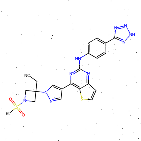 CCS(=O)(=O)N1CC(CC#N)(n2cc(-c3nc(Nc4ccc(-c5nn[nH]n5)cc4)nc4ccsc34)cn2)C1